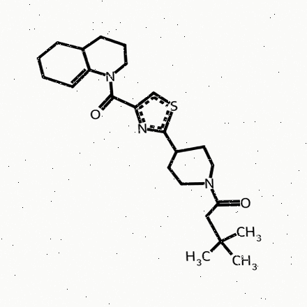 CC(C)(C)CC(=O)N1CCC(c2nc(C(=O)N3CCCC4CCCC=C43)cs2)CC1